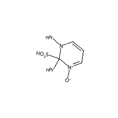 CCCN1C=CC=[N+]([O-])C1(CCC)S(=O)(=O)O